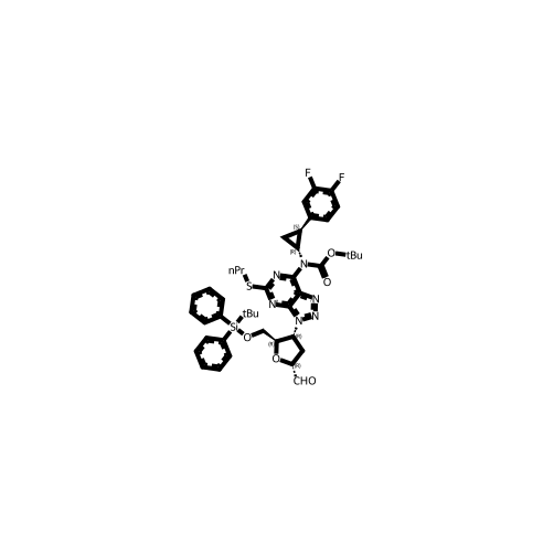 CCCSc1nc(N(C(=O)OC(C)(C)C)[C@@H]2C[C@H]2c2ccc(F)c(F)c2)c2nnn([C@@H]3C[C@H](C=O)O[C@H]3CO[Si](c3ccccc3)(c3ccccc3)C(C)(C)C)c2n1